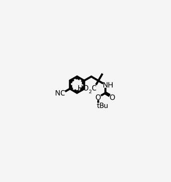 CC(C)(C)OC(=O)NC(C)(Cc1ccc(C#N)cc1)C(=O)O